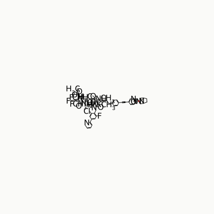 COC(=O)N[C@H](C(=O)NN(Cc1c(F)cc(-c2ccccn2)cc1Cl)C[C@@H](O)CNC(=O)[C@@H](NC(=O)OC)C(C)(C)C(F)(F)F)C(C)(C)CCc1ccc(C#Cc2ccc(N3CC4CCC(C3)N4C3COC3)nc2)cc1